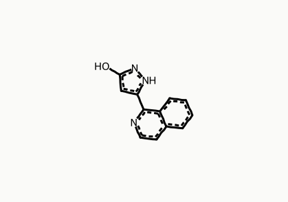 Oc1cc(-c2nccc3ccccc23)[nH]n1